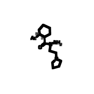 CC(=O)[C@H]1CCCC[C@H]1C(=O)N(N)CCN1CCCC1